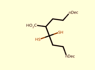 CCCCCCCCCCCCC(C(=O)O)C(S)(S)CCCCCCCCCCCC